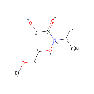 CCCCC(C)N(OCCOCC)C(=O)CO